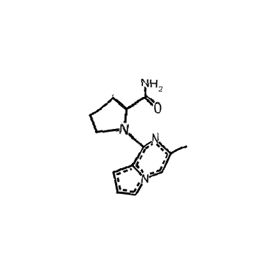 Cc1cn2cccc2c(N2CC[CH]C2C(N)=O)n1